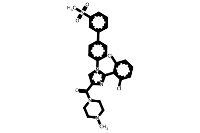 CN1CCN(C(=O)c2cn(-c3ccc(-c4cccc(S(C)(=O)=O)c4)cc3)c(-c3c(Cl)cccc3Cl)n2)CC1